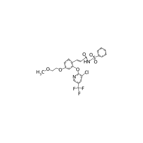 COCCOc1ccc(C=CC(=O)NS(=O)(=O)c2ccccc2)c(Oc2ncc(C(F)(F)F)cc2Cl)c1